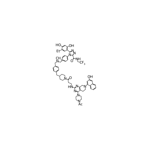 CCc1cc(-c2nnc(C(=O)NCC(F)(F)F)n2-c2ccc(CN(C)Cc3ccc(CC4CCN(C(=O)CCNc5nc6c(c(N7CCN(C(C)=O)CC7)n5)CCN(c5cc(O)cc7ccccc57)C6)CC4)cc3)cc2)c(O)cc1O